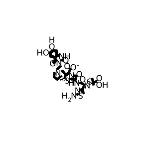 C[C@@H]1S[C@@H]2[C@H](NC(=O)/C(=N\OC(C)(C)C(=O)O)c3csc(N)n3)C(=O)N2C(C(=O)[O-])=C1C[N+]1(CCn2c(=O)[nH]c3cc(O)c(O)cc3c2=O)CCCC1